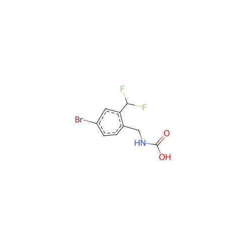 O=C(O)NCc1ccc(Br)cc1C(F)F